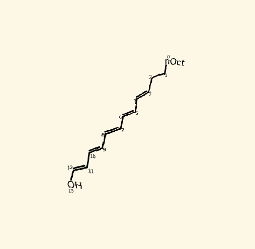 CCCCCCCCCCC=CC=CC=CC=CC=CO